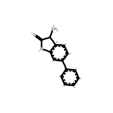 CC1C(=O)Oc2cc(-c3ccccc3)ccc21